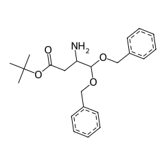 CC(C)(C)OC(=O)CC(N)C(OCc1ccccc1)OCc1ccccc1